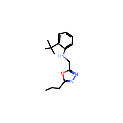 CCCc1nnc(CNc2ccccc2C(C)(C)C)o1